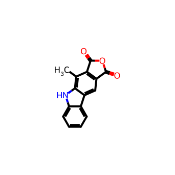 Cc1c2c(cc3c1[nH]c1ccccc13)C(=O)OC2=O